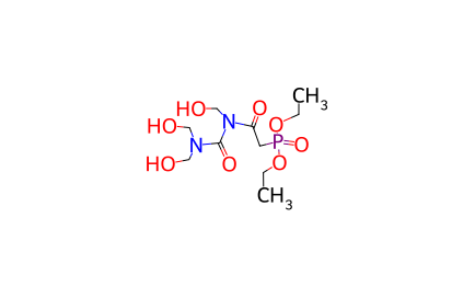 CCOP(=O)(CC(=O)N(CO)C(=O)N(CO)CO)OCC